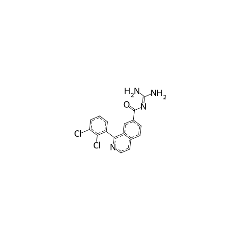 NC(N)=NC(=O)c1ccc2ccnc(-c3cccc(Cl)c3Cl)c2c1